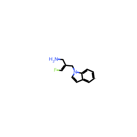 NCC(=CF)Cn1ccc2c[c]ccc21